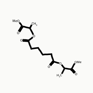 COC(=O)C(C)OC(=O)CCCCC(=O)OC(C)C(=O)OC